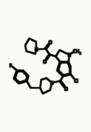 CN1CC(C(=O)C(=O)N2CCCCC2)c2cc(C(=O)N3CCC(Cc4ccc(F)cc4)CC3)c(Cl)cc21